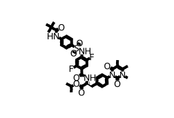 Cc1c(C)n(C)c(=O)n(-c2ccc(C[C@H](NC(=O)c3cc(F)c(NS(=O)(=O)c4ccc(NC(=O)C(C)(C)C)cc4)cc3F)C(=O)OC(C)C)cc2)c1=O